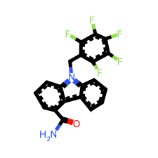 NC(=O)c1cccc2c1c1[c]cccc1n2Cc1c(F)c(F)c(F)c(F)c1F